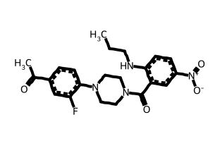 CCCNc1ccc([N+](=O)[O-])cc1C(=O)N1CCN(c2ccc(C(C)=O)cc2F)CC1